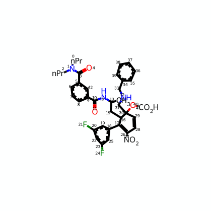 CCCN(CCC)C(=O)c1cccc(C(=O)NC(C)CC2C(c3cc(F)cc(F)c3)=C([N+](=O)[O-])C=CC2(CNCc2ccccc2)OC(=O)O)c1